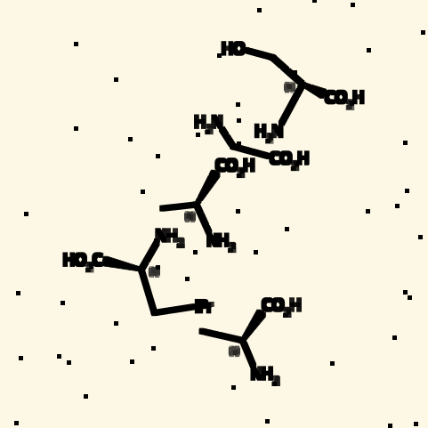 CC(C)C[C@H](N)C(=O)O.C[C@H](N)C(=O)O.C[C@H](N)C(=O)O.NCC(=O)O.N[C@@H](CO)C(=O)O